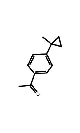 CC(=O)c1ccc(C2(C)CC2)cc1